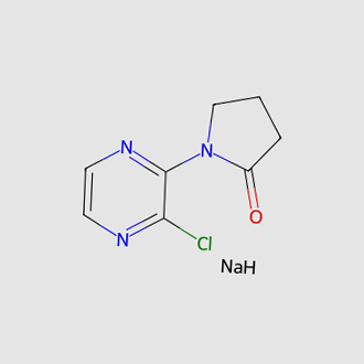 O=C1CCCN1c1nccnc1Cl.[NaH]